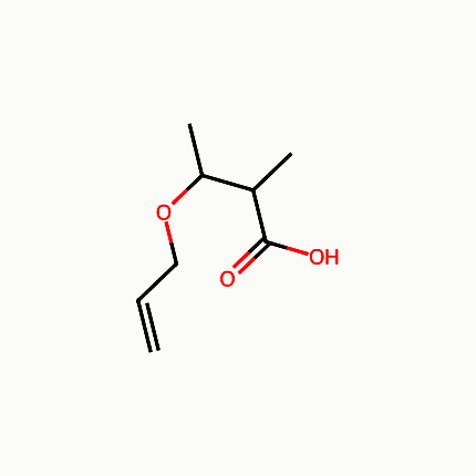 C=CCOC(C)C(C)C(=O)O